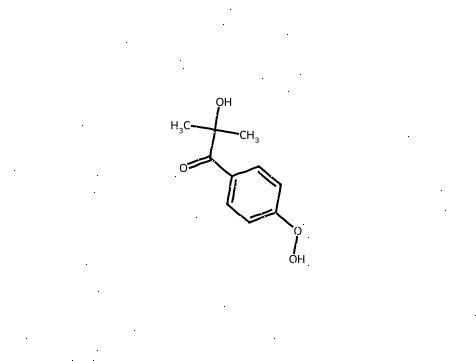 CC(C)(O)C(=O)c1ccc(OO)cc1